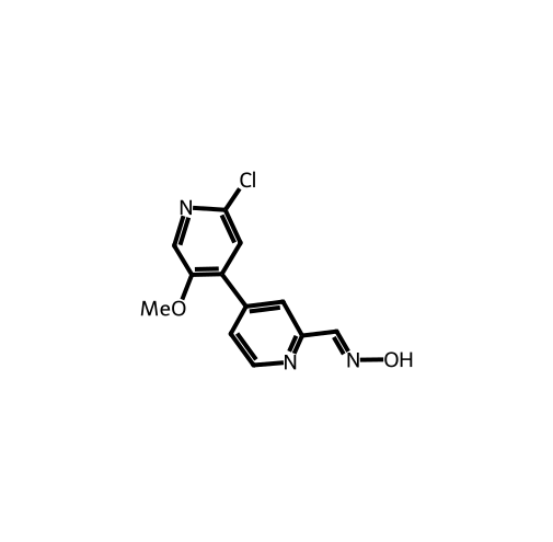 COc1cnc(Cl)cc1-c1ccnc(/C=N/O)c1